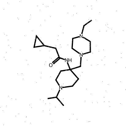 CCN1CCN(CC2(NC(=O)CC3CC3)CCN(C(C)C)CC2)CC1